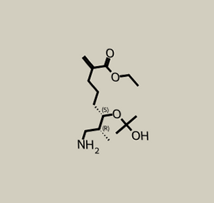 C=C(CCC[C@H](OC(C)(C)O)[C@H](C)CN)C(=O)OCC